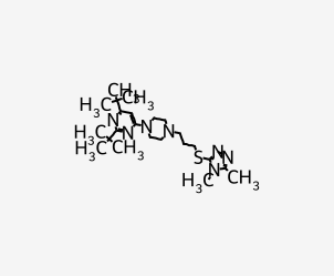 Cc1nnc(SCCCN2CCN(c3cc(C(C)(C)C)nc(C(C)(C)C)n3)CC2)n1C